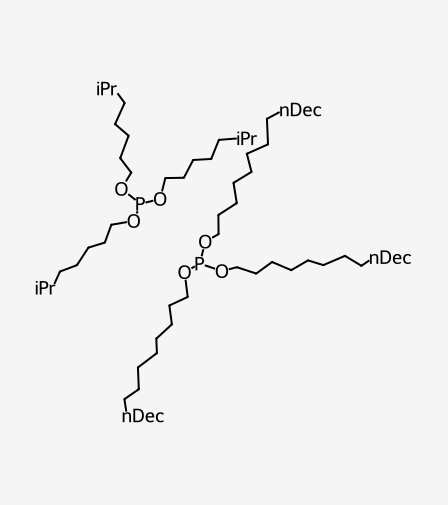 CC(C)CCCCCOP(OCCCCCC(C)C)OCCCCCC(C)C.CCCCCCCCCCCCCCCCCCOP(OCCCCCCCCCCCCCCCCCC)OCCCCCCCCCCCCCCCCCC